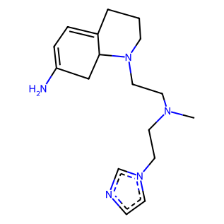 CN(CCN1CCCC2=CC=C(N)CC21)CCn1ccnc1